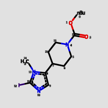 CCCCOC(=O)N1CCC(c2cnc(I)n2C)CC1